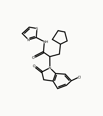 O=C(Nc1nccs1)C(CC1CCCC1)N1C(=O)Cc2ccc(Cl)cc21